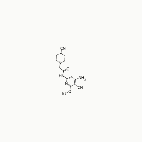 CCOc1nc(NC(=O)CN2CCC(C#N)CC2)cc(N)c1C#N